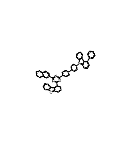 c1ccc(-c2cccc3c2c2ccccc2n3-c2ccc(-c3ccc(-c4nc(-c5ccc6ccccc6c5)nc(-c5cccc6oc7ccccc7c56)n4)cc3)cc2)cc1